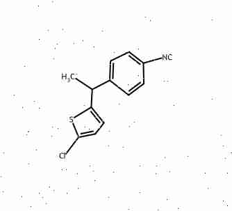 [C-]#[N+]c1ccc(C(C)c2ccc(Cl)s2)cc1